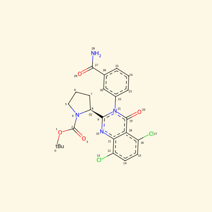 CC(C)(C)OC(=O)N1CCC[C@H]1c1nc2c(Cl)ccc(Cl)c2c(=O)n1-c1cccc(C(N)=O)c1